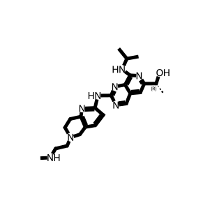 CNCCN1CCc2nc(Nc3ncc4cc([C@@H](C)O)nc(NC(C)C)c4n3)ccc2C1